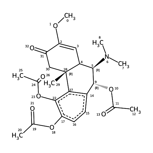 COC1=CC2[C@@H](N(C)C)[C@H](OC(C)=O)c3ccc(OC(C)=O)c(OC(C)=O)c3[C@]2(C)CC1=O